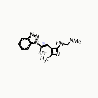 CCC/C(=C\C1=C(C)N=C1NCNC)n1nnc2ccccc21